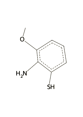 COc1cccc(S)c1N